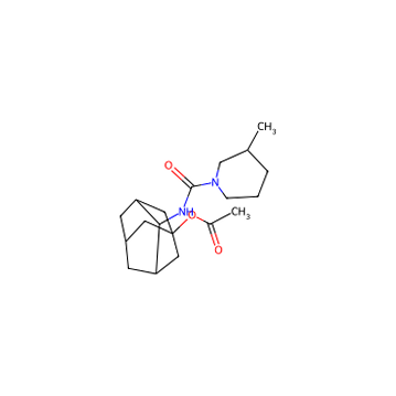 CC(=O)OC12CC3CC(C1)C(NC(=O)N1CCCC(C)C1)C(C3)C2